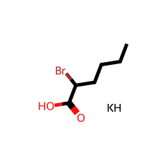 CCCCC(Br)C(=O)O.[KH]